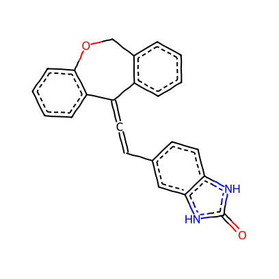 O=c1[nH]c2ccc(C=C=C3c4ccccc4COc4ccccc43)cc2[nH]1